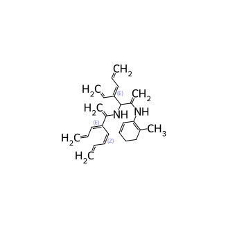 C=C/C=C\C(=C/C=C)C(=C)NC(C(=C)NC1=C(C)CCC=C1)/C(C=C)=C/C=C